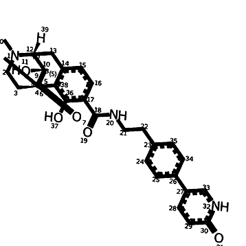 CN1CC[C@]23CC(=O)CC[C@@]2(O)[C@H]1Cc1ccc(C(=O)NCCc2ccc(-c4ccc(=O)[nH]c4)cc2)c(O)c13